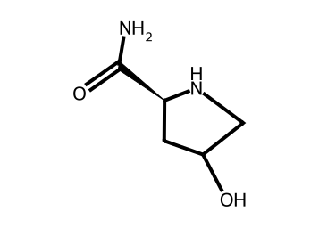 NC(=O)[C@@H]1CC(O)CN1